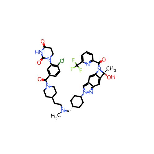 CN(CCC1CCN(C(=O)c2ccc(Cl)c(N3CCC(=O)NC3=O)c2)CC1)C[C@H]1CC[C@H](n2cc3cc4c(cc3n2)[C@](C)(O)N4C(=O)c2cccc(C(F)(F)F)n2)CC1